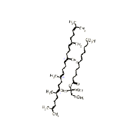 CC(C)=CCC/C(C)=C/CC/C(C)=C/CC/C=C(\C)CC/C=C(\C)CCC=C(C)C.CCCCCCCCCCCC(CCCCCCCC)(CCCCCCCC)OC(=O)CCCCCCCCCCC(=O)O